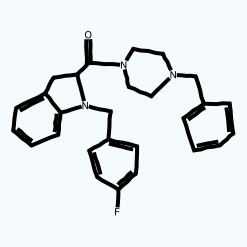 O=C(C1Cc2ccccc2N1Cc1ccc(F)cc1)N1CCN(Cc2ccccc2)CC1